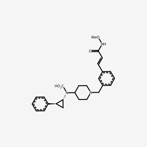 CONC(=O)C=Cc1cccc(CN2CCC(N(C(=O)O)[C@@H]3C[C@H]3c3ccccc3)CC2)c1